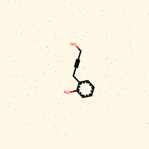 OCC#CCc1ccccc1O